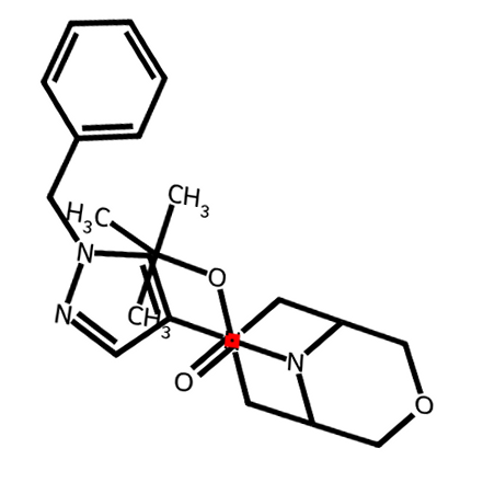 CC(C)(C)OC(=O)N1C2COCC1CN(c1cnn(Cc3ccccc3)c1)C2